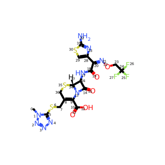 Cn1nnnc1SCC1=C(C(=O)O)N2C(=O)C(NC(=O)/C(=N\OCC(F)(F)F)c3csc(N)n3)[C@H]2SC1